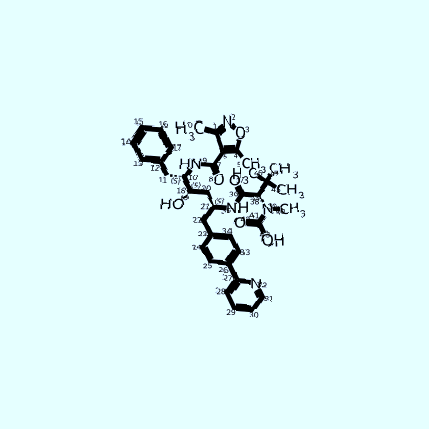 Cc1noc(C)c1C(=O)N[C@@H](Cc1ccccc1)[C@@H](O)C[C@H](Cc1ccc(-c2ccccn2)cc1)NC(=O)[C@@H](N(C)C(=O)O)C(C)(C)C